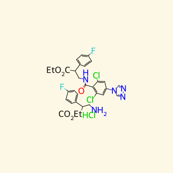 CCOC(=O)C(CN)c1ccc(F)cc1.CCOC(=O)C(CNC(=O)c1c(Cl)cc(-n2cnnc2)cc1Cl)c1ccc(F)cc1.Cl